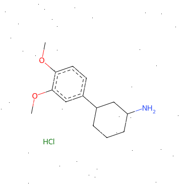 COc1ccc(C2CCCC(N)C2)cc1OC.Cl